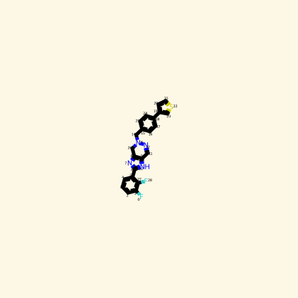 Fc1cccc(-c2nc3c([nH]2)C=NN(Cc2ccc(-c4ccsc4)cc2)C3)c1F